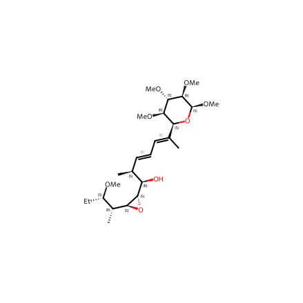 CC[C@H](OC)[C@@H](C)[C@@H]1O[C@H]1[C@H](O)[C@@H](C)/C=C/C=C(\C)[C@@H]1O[C@H](OC)[C@H](OC)[C@@H](OC)[C@@H]1OC